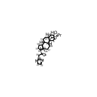 CC(C)OC[C@]12CC[C@@H](O)C[C@H]1CC[C@H]1[C@@H]3CC[C@H](C(=O)Cn4nccn4)[C@@]3(C)CC[C@@H]12